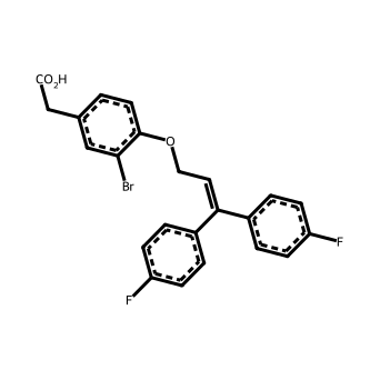 O=C(O)Cc1ccc(OCC=C(c2ccc(F)cc2)c2ccc(F)cc2)c(Br)c1